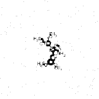 C=CC(=O)N1C[C@@H](n2nc(C(=O)Cc3cc(OC)cc(OC)c3F)c3c(N)ncnc32)C[C@@H]1COC